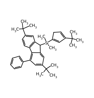 CC(C)(C)C1=CCC([Si](C)(C)C2c3cc(C(C)(C)C)ccc3-c3c(-c4ccccc4)cc(C(C)(C)C)cc32)=C1